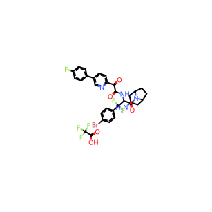 NC1CC2CCC(C1)N2C(=O)C(NC(=O)C(=O)c1ccc(-c2ccc(F)cc2)cn1)C(F)(F)c1ccc(Br)cc1.O=C(O)C(F)(F)F